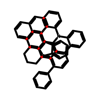 c1ccc(-c2ccc(-c3ccccc3N(c3ccccc3-c3cccc4cccc(C5CCCCC5)c34)c3ccccc3-c3cccc4sc5ccccc5c34)cc2)cc1